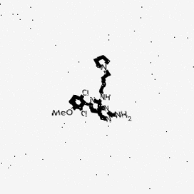 COc1ccc(Cl)c(-c2cc3cnc(N)nc3c(NCCCCN3CCCC3)n2)c1Cl